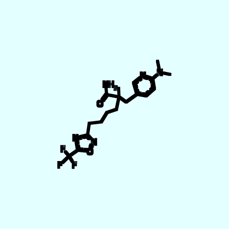 CN(C)c1ccc(CC(C)(CCCCc2noc(C(F)(F)F)n2)C(N)=O)cn1